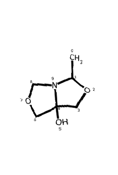 CC1OCC2(O)COCN12